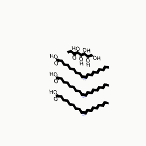 CCC(=O)[C@H](O)[C@@H](O)[C@H](O)[C@H](O)CO.CCCCCCCC/C=C\CCCCCCCC(=O)O.CCCCCCCC/C=C\CCCCCCCC(=O)O.CCCCCCCC/C=C\CCCCCCCC(=O)O